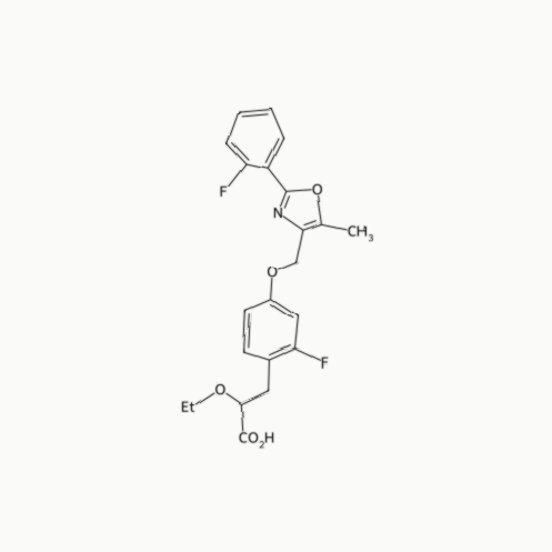 CCOC(Cc1ccc(OCc2nc(-c3ccccc3F)oc2C)cc1F)C(=O)O